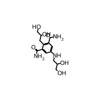 NC(=O)c1cc(NCC(O)CO)cc(C(N)=O)c1CC(O)CO